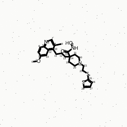 COc1ccc2ncc(C)c(CCCC3(C(=O)NO)CCN(CCSc4cccs4)CC3)c2c1